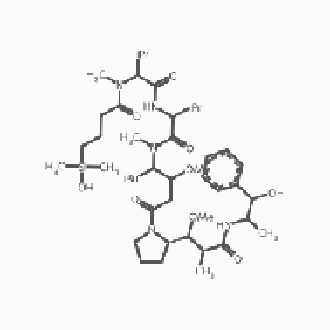 CCC(C)C(C(CC(=O)N1CCC[C@@H]1C(OC)C(C)C(=O)NC(C)C(O)c1ccccc1)OC)N(C)C(=O)C(NC(=O)C(C(C)C)N(C)C(=O)CCC[Si](C)(C)O)C(C)C